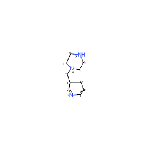 C1=CN=CC(CN2CCNCC2)C1